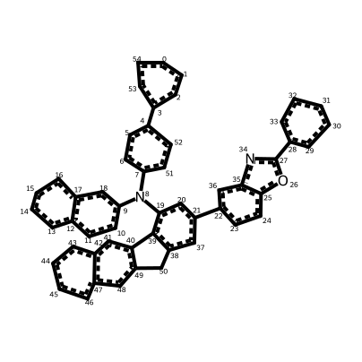 c1ccc(-c2ccc(N(c3ccc4ccccc4c3)c3cc(-c4ccc5oc(-c6ccccc6)nc5c4)cc4c3-c3cc5ccccc5cc3C4)cc2)cc1